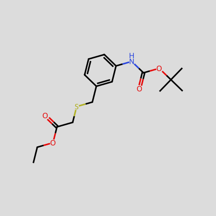 CCOC(=O)CSCc1cccc(NC(=O)OC(C)(C)C)c1